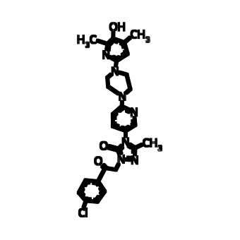 Cc1cc(N2CCN(c3ccc(-n4c(C)nn(CC(=O)c5ccc(Cl)cc5)c4=O)cn3)CC2)nc(C)c1O